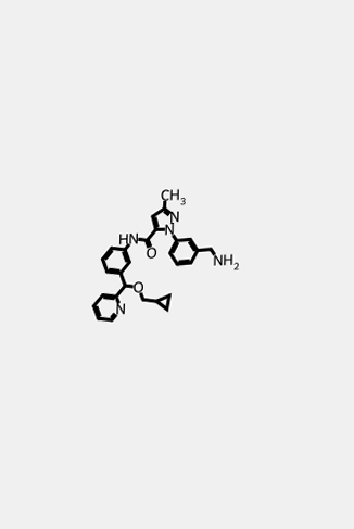 Cc1cc(C(=O)Nc2cccc(C(OCC3CC3)c3ccccn3)c2)n(-c2cccc(CN)c2)n1